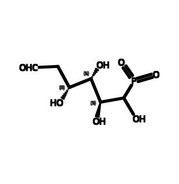 O=CC[C@@H](O)[C@H](O)[C@H](O)C(O)P(=O)=O